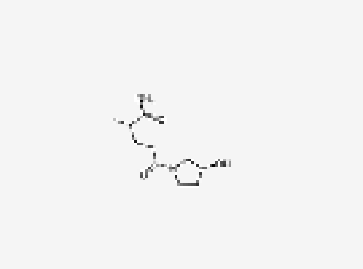 CC(C[CH]C(=O)N1CC[C@H](O)C1)C(N)=O